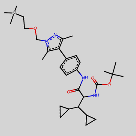 Cc1nn(COCC[Si](C)(C)C)c(C)c1-c1ccc(NC(=O)C(NC(=O)OC(C)(C)C)C(C2CC2)C2CC2)cc1